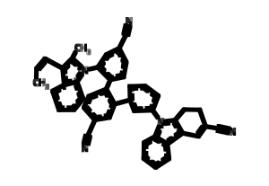 C/C=C\c1c(C)n(-c2cc(C#N)ccc2-c2ccc(C#N)cc2-c2cccc(-n3c4c(c5ccccc53)C=C(C#N)CC4)c2)c2ccccc12